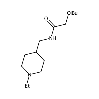 CCN1CCC(CNC(=O)COCC(C)C)CC1